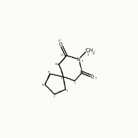 [CH2]N1C(=O)CC2(CCCC2)CC1=O